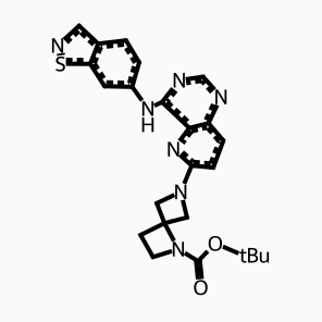 CC(C)(C)OC(=O)N1CCC12CN(c1ccc3ncnc(Nc4ccc5cnsc5c4)c3n1)C2